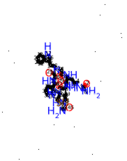 NC(=O)NCCCC(NC(=O)CN(CCc1c[nH]c2ccccc12)C(=O)CNCc1cccnc1)C(=O)N[C@@H](CCCNC(N)=O)C(=O)NCCS